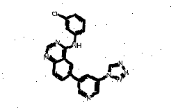 Clc1cccc(Nc2ncnc3ccc(-c4cncc(-n5cnnn5)c4)cc23)c1